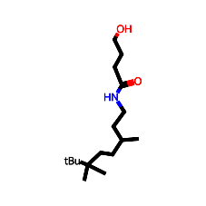 CC(CCNC(=O)CCCO)CCC(C)(C)C(C)(C)C